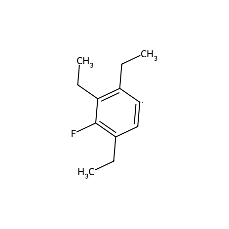 CCc1[c]cc(CC)c(F)c1CC